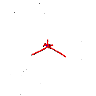 CCCCCCC1=C(c2cccc(CCCC)c2)[N+](=[N-])C(c2cccc(CCCC)c2)=C1.CCCCCCCCCCCCCCCCCCCCCCCC[CH2][Pd][CH2]CCCCCCCCCCCCCCCCCCCCCCCC